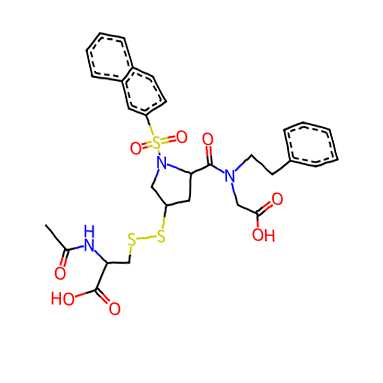 CC(=O)NC(CSSC1CC(C(=O)N(CCc2ccccc2)CC(=O)O)N(S(=O)(=O)c2ccc3ccccc3c2)C1)C(=O)O